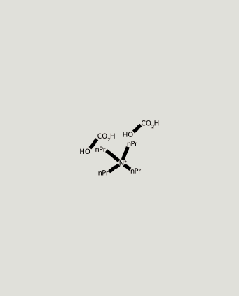 CCC[N+](CCC)(CCC)CCC.O=C(O)O.O=C(O)O